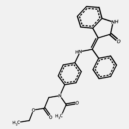 CCOC(=O)CN(C(C)=O)c1ccc(NC(=C2C(=O)Nc3ccccc32)c2ccccc2)cc1